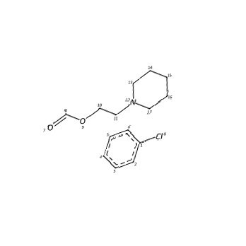 Clc1ccccc1.O=COCCN1CCCCC1